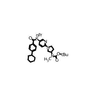 CCCN(C(=O)c1ccc(C2CCCCC2)cc1)c1ccc(N2CCC(N(C)C(=O)OC(C)(C)C)C2)nc1